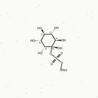 CCCCCCOS(=O)(=O)O[C@]1(O)[C@H](O)[C@H](O)[C@@H](O)[C@H](O)[C@H]1O